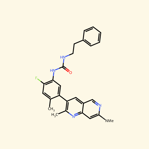 CNc1cc2nc(C)c(-c3cc(NC(=O)NCCc4ccccc4)c(F)cc3C)cc2cn1